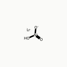 O=[N+]([O-])O.[Lr]